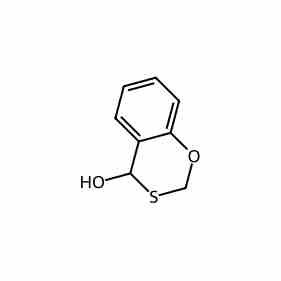 OC1SCOc2ccccc21